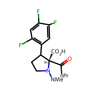 CCCC(=O)[C@@]1(C(=O)O)C(c2cc(F)c(F)cc2F)CCN1NC